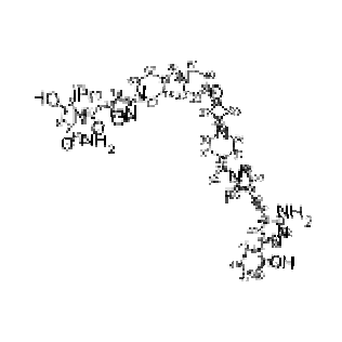 CC(C)[C@@H](C(=O)N1C[C@H](O)C[C@H]1C(N)=O)c1cc(N2CCC(CN3CCC(O[C@H]4C[C@H](N5CCC(C(C)n6ncc(C#Cc7cc(-c8ccccc8O)nnc7N)c6F)CC5)C4)CC3)CC2)no1